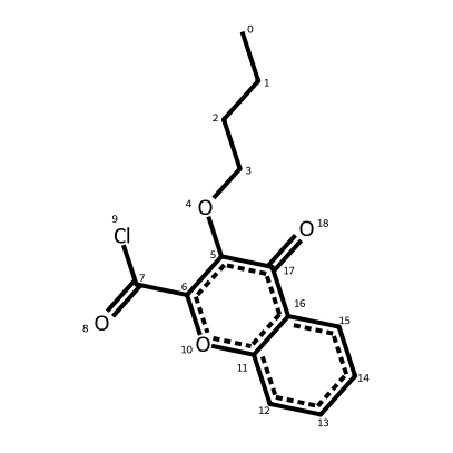 CCCCOc1c(C(=O)Cl)oc2ccccc2c1=O